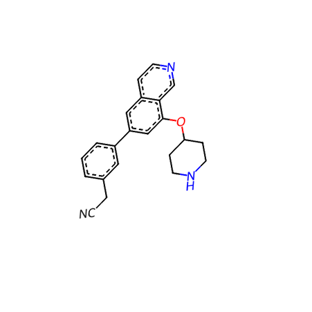 N#CCc1cccc(-c2cc(OC3CCNCC3)c3cnccc3c2)c1